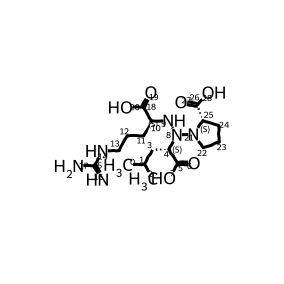 CC(C)C[C@@H](C(=O)O)N(N[C@@H](CCCNC(=N)N)C(=O)O)N1CCC[C@H]1C(=O)O